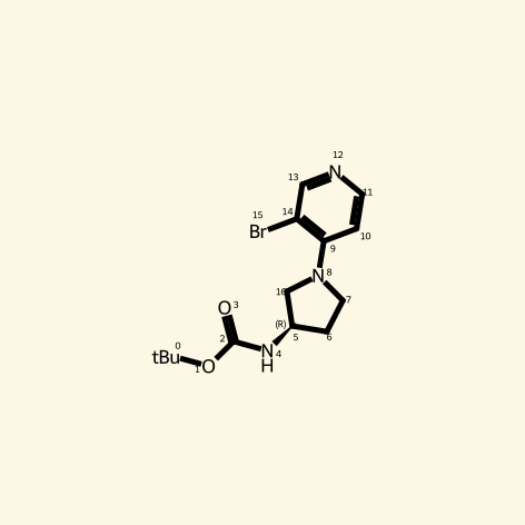 CC(C)(C)OC(=O)N[C@@H]1CCN(c2ccncc2Br)C1